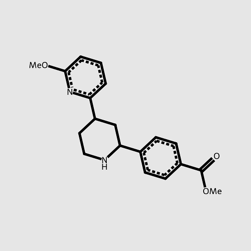 COC(=O)c1ccc(C2CC(c3cccc(OC)n3)CCN2)cc1